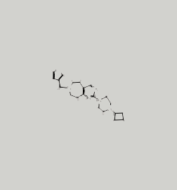 O=C(c1ccoc1)N1CCc2cnc(N3CCN(C4CCC4)CC3)nc2CC1